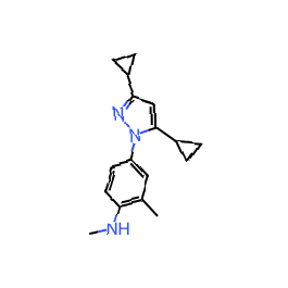 CNc1ccc(-n2nc(C3CC3)cc2C2CC2)cc1C